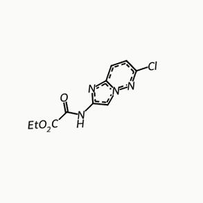 CCOC(=O)C(=O)Nc1cn2nc(Cl)ccc2n1